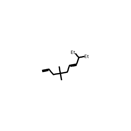 C=CCC(C)(C)CC=CC(CC)CC